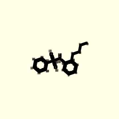 CCCCc1ccccc1NS(=O)(=O)c1ccccc1